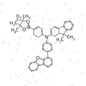 CC1(C)c2ccccc2C2=CC=C(N(C3=CC=C(B4OC(C)(C)C(C)(C)O4)CC3)c3ccc(-c4cccc5c4oc4ccccc45)cc3)CC21